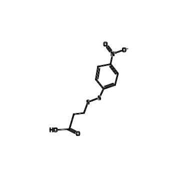 O=C(O)CCSSc1ccc([N+](=O)[O-])cc1